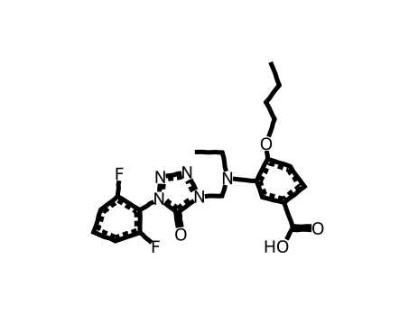 CCCCOc1ccc(C(=O)O)cc1N(CC)Cn1nnn(-c2c(F)cccc2F)c1=O